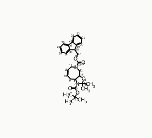 CC(C)(C)OC(=O)N1C2C/C=C\CN(C(=O)OCC3c4ccccc4-c4ccccc43)CC2OC1(C)C